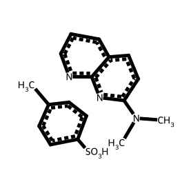 CN(C)c1ccc2cccnc2n1.Cc1ccc(S(=O)(=O)O)cc1